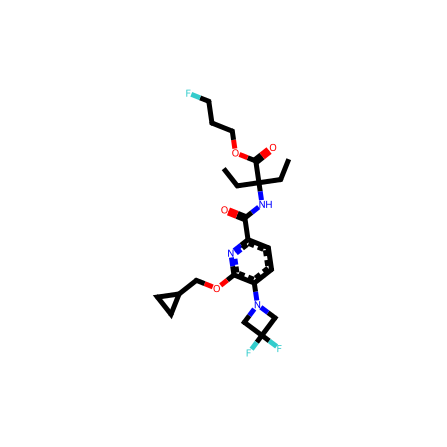 CCC(CC)(NC(=O)c1ccc(N2CC(F)(F)C2)c(OCC2CC2)n1)C(=O)OCCCF